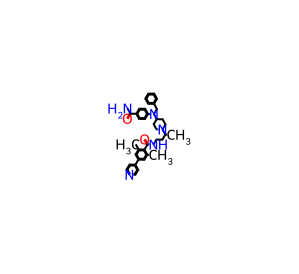 Cc1cc(-c2ccncc2)cc(C)c1C(=O)NCCC(C)N1CCC(N(Cc2ccccc2)c2ccc(C(N)=O)cc2)CC1